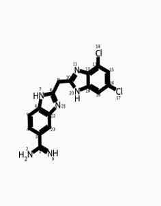 N=C(N)c1ccc2[nH]c(Cc3nc4c(Cl)cc(Cl)cc4[nH]3)nc2c1